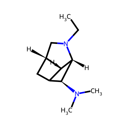 CCN1C[C@H]2CC3[C@H]2[C@H]1[C@H]3N(C)C